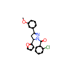 COc1cccc(C2=NN(C(=O)c3ccccc3Cl)C(c3ccco3)C2)c1